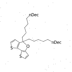 CCCCCCCCCCCCCCCC1(CCCCCCCCCCCCCCC)Oc2ccsc2-c2sccc21